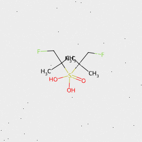 CC(C)(CF)S(=O)(O)(O)C(C)(C)CF